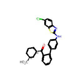 O=C(O)[C@H]1CCC[C@@H](C(=O)c2ccccc2-c2ccc(Nc3nc4ccc(Cl)cc4s3)cc2)C1